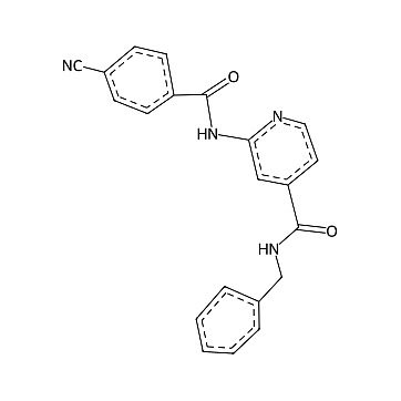 N#Cc1ccc(C(=O)Nc2cc(C(=O)NCc3ccccc3)ccn2)cc1